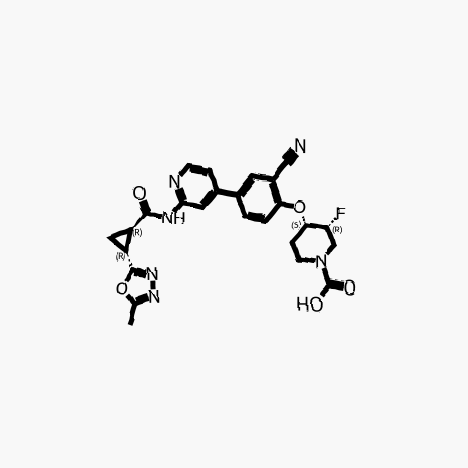 Cc1nnc([C@@H]2C[C@H]2C(=O)Nc2cc(-c3ccc(O[C@H]4CCN(C(=O)O)C[C@H]4F)c(C#N)c3)ccn2)o1